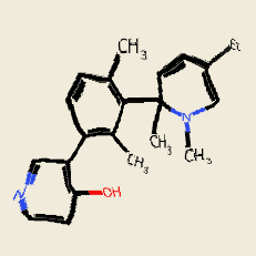 CCC1=CN(C)C(C)(c2c(C)ccc(-c3cnccc3O)c2C)C=C1